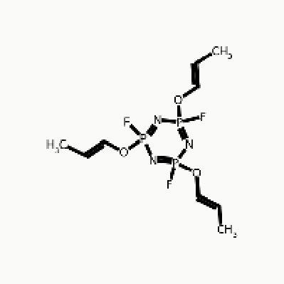 CC=COP1(F)=NP(F)(OC=CC)=NP(F)(OC=CC)=N1